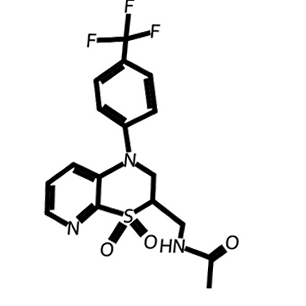 CC(=O)NCC1CN(c2ccc(C(F)(F)F)cc2)c2cccnc2S1(=O)=O